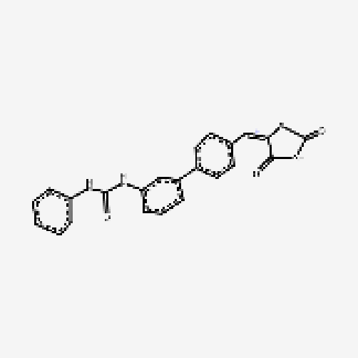 O=C(Nc1ccccc1)Nc1cccc(-c2ccc(/C=C3/SC(=O)NC3=O)cc2)c1